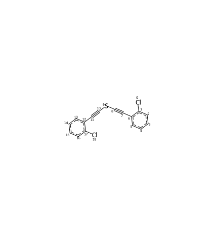 Clc1ccccc1C#CSC#Cc1ccccc1Cl